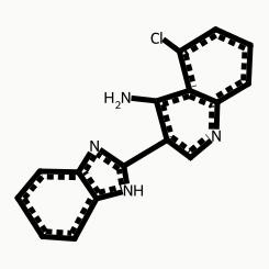 Nc1c(-c2nc3ccccc3[nH]2)cnc2cccc(Cl)c12